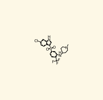 CN1CCC(Nc2cc(S(=O)(=O)c3c[nH]c4cc(Cl)ccc34)ccc2C(F)(F)F)CC1